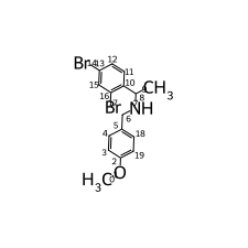 COc1ccc(CNC(C)c2ccc(Br)cc2Br)cc1